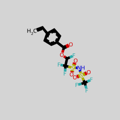 C=Cc1ccc(C(=O)OC(F)C(F)(F)S(=O)(=O)NS(=O)(=O)C(F)(F)F)cc1